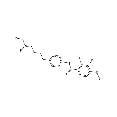 CCOc1ccc(C(=O)Oc2ccc(CCC/C=C(\F)CF)cc2)c(F)c1F